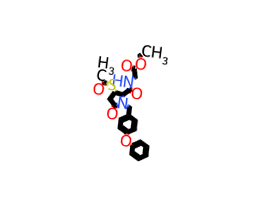 CCOC(=O)CNC(=O)C1C(SC(C)=O)CC(=O)N1Cc1ccc(Oc2ccccc2)cc1